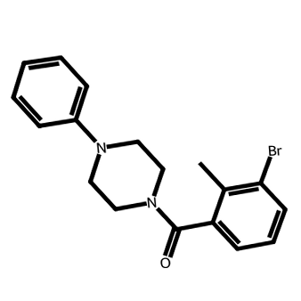 Cc1c(Br)cccc1C(=O)N1CCN(c2ccccc2)CC1